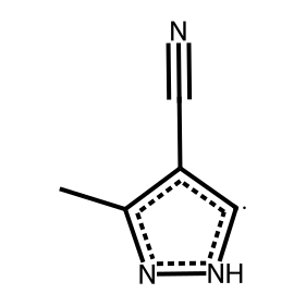 Cc1n[nH][c]c1C#N